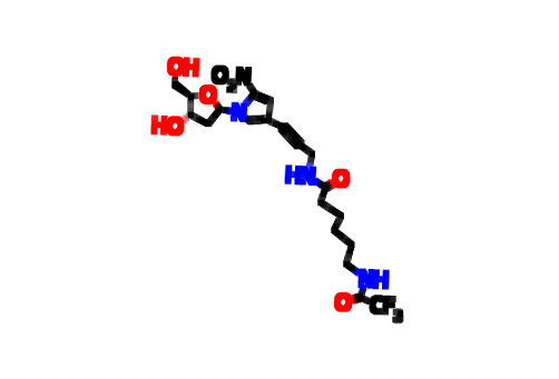 O=C(CCCCCNC(=O)C(F)(F)F)NCC#Cc1cc([N+](=O)[O-])n([C@H]2C[C@H](O)[C@@H](CO)O2)c1